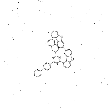 C1=CC(c2nc(-c3ccc(-c4ccccc4)cc3)nc(-c3cccc4oc5ccc(-c6ccc7c(c6)oc6ccccc67)cc5c34)n2)Cc2ccccc21